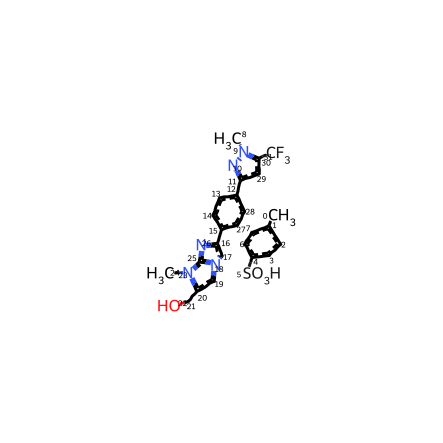 Cc1ccc(S(=O)(=O)O)cc1.Cn1nc(-c2ccc(-c3cn4cc(CO)n(C)c4n3)cc2)cc1C(F)(F)F